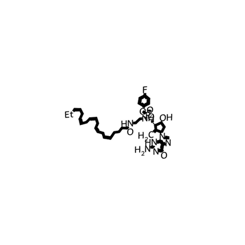 C=C1C(n2cnc3c(=O)nc(N)[nH]c32)C[C@H](O)[C@H]1COP(=O)(NCCNC(=O)CCC/C=C\C/C=C\C/C=C\C/C=C\C/C=C\CC)Oc1ccc(F)cc1